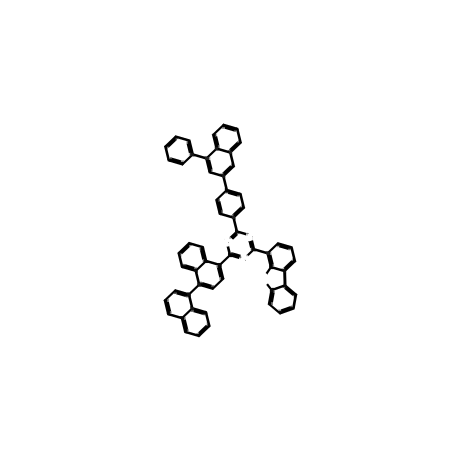 c1ccc(-c2cc(-c3ccc(-c4nc(-c5ccc(-c6cccc7ccccc67)c6ccccc56)nc(-c5cccc6c5oc5ccccc56)n4)cc3)cc3ccccc23)cc1